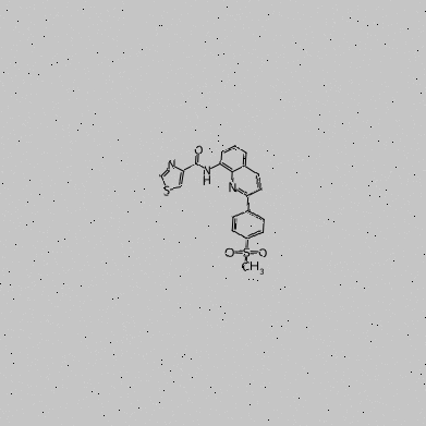 CS(=O)(=O)c1ccc(-c2ccc3cccc(NC(=O)c4cscn4)c3n2)cc1